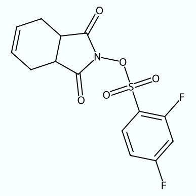 O=C1C2CC=CCC2C(=O)N1OS(=O)(=O)c1ccc(F)cc1F